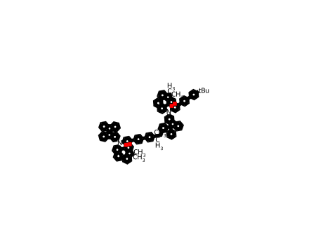 CC(C)(C)c1ccc(-c2ccc(-c3ccc(N(c4ccc5c(c4)-c4ccccc4C5(c4ccccc4)c4cccc(CC(C)(C)c5ccc(-c6ccc(-c7ccc(N(c8ccc9c(c8)-c8ccccc8C98c9ccccc9-c9ccccc98)c8ccc9ccccc9c8-c8cccc9c8-c8ccccc8C9(C)C)cc7)cc6)cc5)c4)c4ccc5ccccc5c4-c4cccc5c4-c4ccccc4C5(C)C)cc3)cc2)cc1